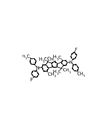 Cc1ccc(N(c2ccc(F)cc2)c2cc(C)c3c(c2)C(C)(C)c2cc4c(cc2-3)C(C)(C)c2cc(N(c3ccc(C)cc3)c3ccc(F)cc3)cc(C)c2-4)cc1